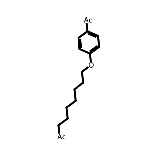 CC(=O)CCCCCCCOc1ccc(C(C)=O)cc1